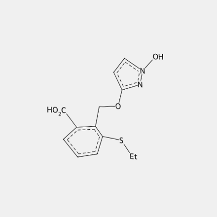 CCSc1cccc(C(=O)O)c1COc1ccn(O)n1